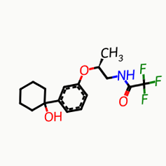 C[C@@H](CNC(=O)C(F)(F)F)Oc1cccc(C2(O)CCCCC2)c1